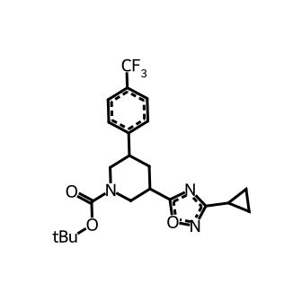 CC(C)(C)OC(=O)N1CC(c2ccc(C(F)(F)F)cc2)CC(c2nc(C3CC3)no2)C1